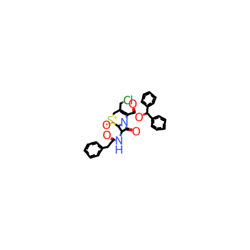 O=C(Cc1ccccc1)NC1C(=O)N2C(C(=O)OC(c3ccccc3)c3ccccc3)=C(CCl)C[S+]([O-])C12